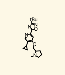 CN1CCCC1COc1cc(-c2nc(C(C)(C)C)no2)ncc1C1CC1